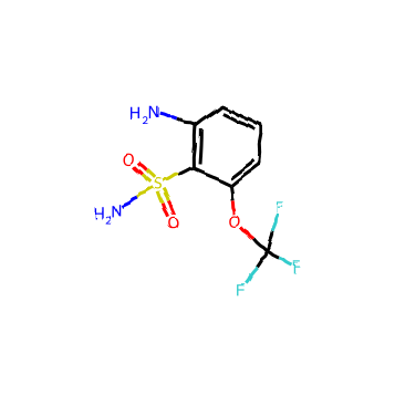 Nc1cccc(OC(F)(F)F)c1S(N)(=O)=O